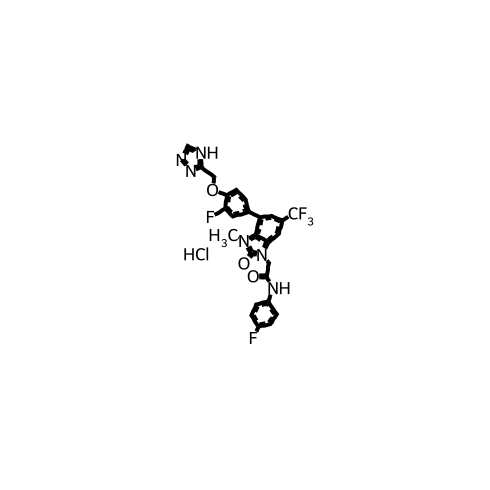 Cl.Cn1c(=O)n(CC(=O)Nc2ccc(F)cc2)c2cc(C(F)(F)F)cc(-c3ccc(OCc4nnc[nH]4)c(F)c3)c21